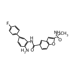 CS(=N)(=O)c1cc2cc(C(=O)Nc3cc(-c4ccc(F)cc4)ccc3N)ccc2o1